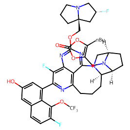 CCCCc1oc(=O)oc1CN1[C@@H]2CC[C@H]1[C@H]1CCCc3nc(-c4cc(O)cc5ccc(F)c(OC(F)(F)F)c45)c(F)c4nc(OC[C@@]56CCCN5C[C@H](F)C6)nc(c34)N1C2